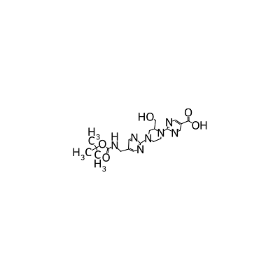 CC(C)(C)OC(=O)NCc1cnc(N2CCN(c3ncc(C(=O)O)cn3)C(CO)C2)nc1